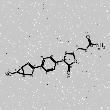 N#CC1C2C=C(c3ccc(N4C[C@H](CCC(N)=O)OC4=O)cc3)CC12